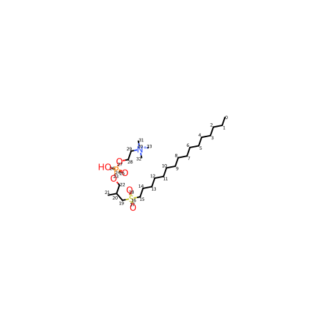 CCCCCCCCCCCCCCCCS(=O)(=O)CC(C)COP(=O)(O)OCC[N+](C)(C)C